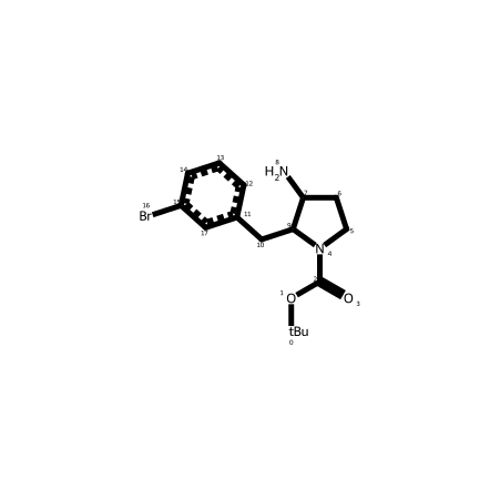 CC(C)(C)OC(=O)N1CCC(N)C1Cc1cccc(Br)c1